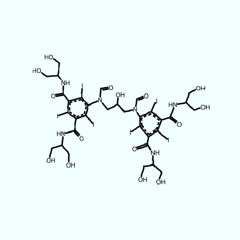 O=CN(CC(O)CN(C=O)c1c(I)c(C(=O)NC(CO)CO)c(I)c(C(=O)NC(CO)CO)c1I)c1c(I)c(C(=O)NC(CO)CO)c(I)c(C(=O)NC(CO)CO)c1I